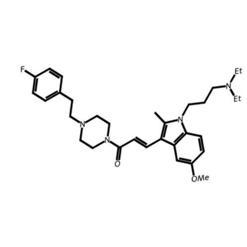 CCN(CC)CCCn1c(C)c(C=CC(=O)N2CCN(CCc3ccc(F)cc3)CC2)c2cc(OC)ccc21